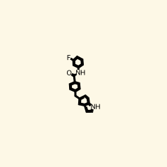 O=C(Nc1cccc(F)c1)c1ccc(Cc2ccc3[nH]ccc3c2)cc1